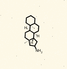 C[C@]12CC[C@@H]3[C@@H](CCC4CCCC[C@@]43C)[C@@H]1CC(N)C2